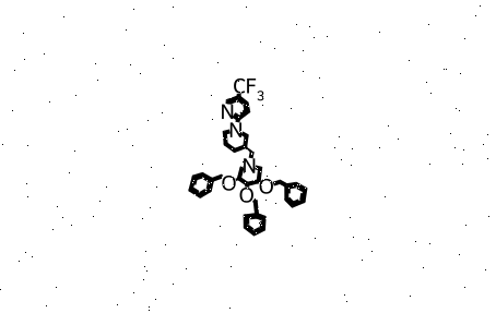 FC(F)(F)c1ccc(N2CCC[C@H](CN3C[C@H](OCc4ccccc4)C(OCc4ccccc4)[C@H](OCc4ccccc4)C3)C2)nc1